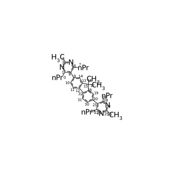 CCCc1nc(C)nc(CCC)c1-c1ccc2c(c1)C(C)(C)c1cc(-c3c(CCC)nc(C)nc3CCC)ccc1-2